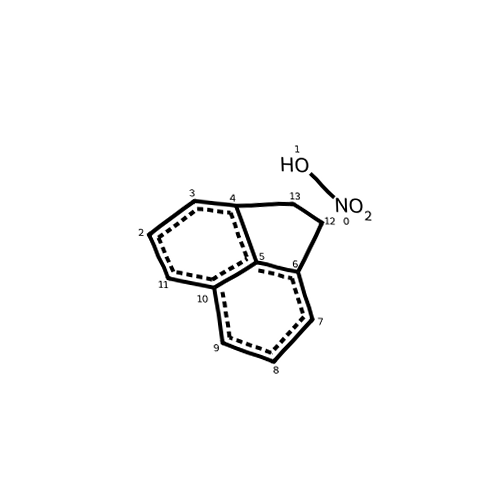 O=[N+]([O-])O.c1cc2c3c(cccc3c1)CC2